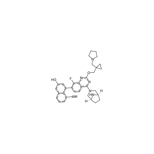 C#Cc1cccc2cc(O)cc(-c3ccc4c(N5C[C@H]6CC[C@@H](C5)N6)nc(OCC5(CN6CCCC6)CC5)nc4c3F)c12